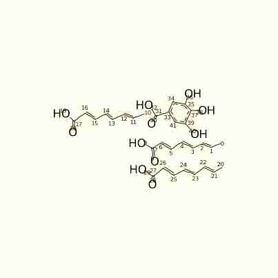 CC=CC=CC=CC(=O)O.CC=CC=CC=CC(=O)O.CC=CC=CC=CC(=O)O.O=C(O)c1cc(O)c(O)c(O)c1